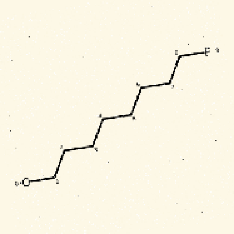 [O]CCCCCCCCF